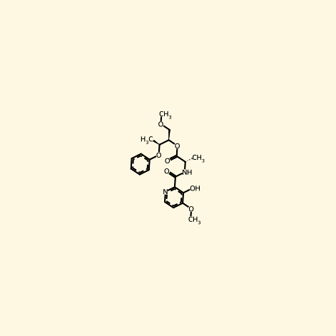 COC[C@@H](OC(=O)[C@H](C)NC(=O)c1nccc(OC)c1O)[C@H](C)Oc1ccccc1